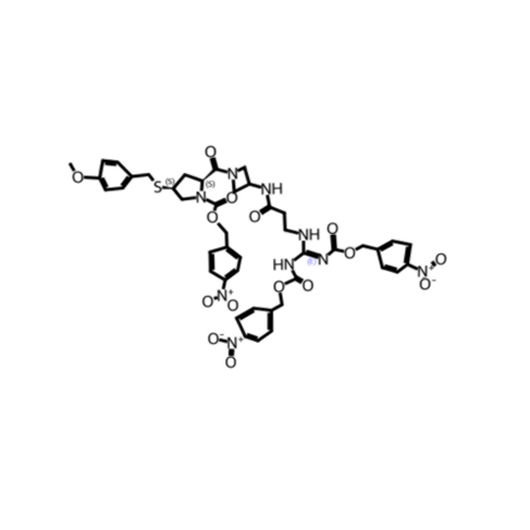 COc1ccc(CS[C@H]2C[C@@H](C(=O)N3CC(NC(=O)CCN/C(=N\C(=O)OCc4ccc([N+](=O)[O-])cc4)NC(=O)OCc4ccc([N+](=O)[O-])cc4)C3)N(C(=O)OCc3ccc([N+](=O)[O-])cc3)C2)cc1